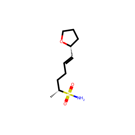 C[C@H](CCC=C[C@H]1CCCO1)S(N)(=O)=O